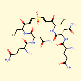 CC(C)C[C@H](NC(=O)[C@H](CC(N)=O)NC(=O)[C@@H](N)CCC(N)=O)C(=O)C=CS(=O)(=O)C=CC(=O)[C@H](CC(C)C)NC(=O)[C@H](CC(N)=O)NC(=O)[C@@H](N)CCC(N)=O